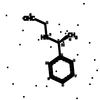 C[C@H](NC[C]=O)c1ccccc1